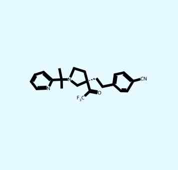 CC(C)(c1ccccn1)N1CC[C@@](CCc2ccc(C#N)cc2)(C(=O)C(F)(F)F)C1